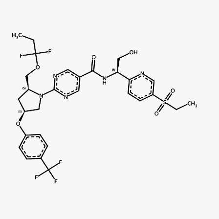 CCC(F)(F)OC[C@@H]1C[C@H](Oc2ccc(C(F)(F)F)cc2)CN1c1ncc(C(=O)N[C@@H](CO)c2ccc(S(=O)(=O)CC)cn2)cn1